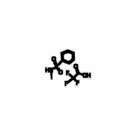 O=C(O)C(F)(F)F.O=S(=O)(NI)c1ccccc1